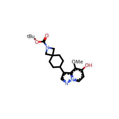 COc1c(O)ccn2ncc(C3CCC4(CC3)CN(C(=O)OC(C)(C)C)C4)c12